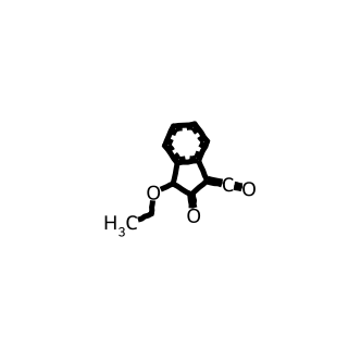 CCOC1C(=O)C(=C=O)c2ccccc21